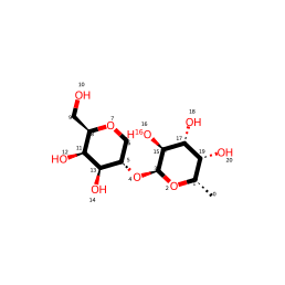 C[C@@H]1O[C@@H](O[C@H]2[CH]O[C@H](CO)[C@H](O)[C@@H]2O)[C@@H]([16OH])[C@H](O)[C@@H]1O